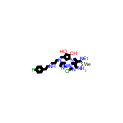 CC/N=C(\SC)c1cn([C@@H]2CC(CN(CCCNCCc3ccc(F)cc3)c3cn[nH]c3)[C@@H](O)[C@H]2O)c2nc(Cl)nc(N)c12